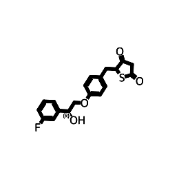 O=C1CC(=O)C(Cc2ccc(OC[C@H](O)c3cccc(F)c3)cc2)S1